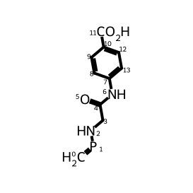 C=PNCC(=O)Nc1ccc(C(=O)O)cc1